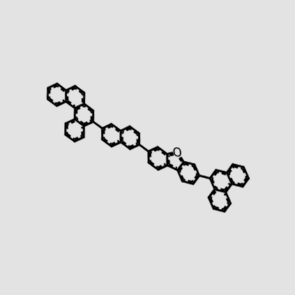 c1ccc2c(c1)cc(-c1ccc3c(c1)oc1cc(-c4ccc5cc(-c6cc7ccc8ccccc8c7c7ccccc67)ccc5c4)ccc13)c1ccccc12